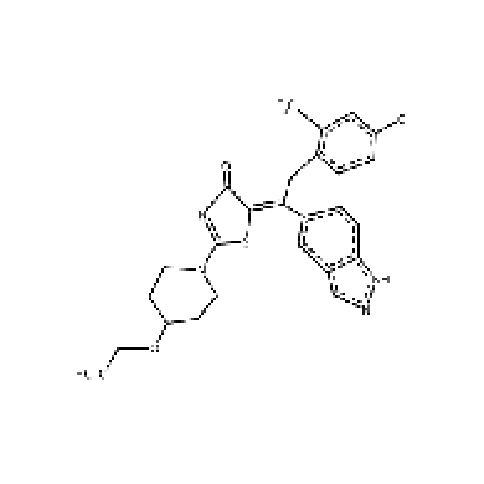 O=C(O)COC1CCN(C2=NC(=O)C(=C(Cc3ccc(Cl)cc3C(F)(F)F)c3ccc4[nH]ncc4c3)S2)CC1